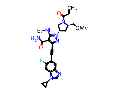 C=CC(=O)N1C[C@@H](n2nc(C#Cc3cc4ncn(C5CC5)c4cc3F)c(C(N)=O)c2NCC)C[C@@H]1COC